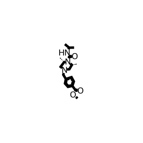 COC(=O)c1ccc(CN2C[C@@H](C)N(C(=O)NC(C)C)[C@@H](C)C2)cc1